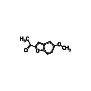 COc1ccc2oc(C(C)=O)cc2c1